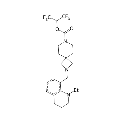 CCN1CCCc2cccc(CN3CC4(CCN(C(=O)OC(C(F)(F)F)C(F)(F)F)CC4)C3)c21